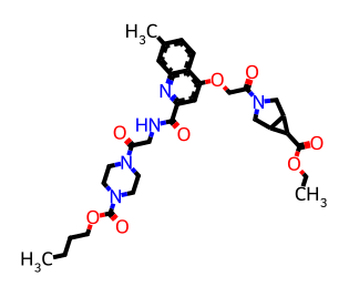 CCCCOC(=O)N1CCN(C(=O)CNC(=O)c2cc(OCC(=O)N3CC4C(C3)C4C(=O)OCC)c3ccc(C)cc3n2)CC1